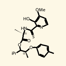 COc1ccnc(C(=S)N[C@@H](C)C(=O)OC(C(C)C)[C@H](C)Oc2ccc(C)cc2)c1O